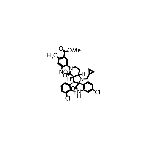 COC(=O)c1cc(N2CC[C@H]3[C@@H](C2=O)[C@H](c2cccc(Cl)c2F)[C@]2(C(=O)Nc4cc(Cl)ccc42)N3CC2CC2)c([N+](=O)[O-])cc1C